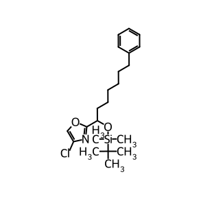 CC(C)(C)[Si](C)(C)OC(CCCCCCc1ccccc1)c1nc(Cl)co1